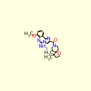 COc1cccc2c1nc(N)n1cc(C(=O)N3CCC4(CC3)OCCC4(C)C)nc21